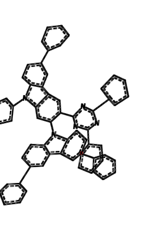 c1ccc(-c2ccc3c(c2)c2cc(-c4nc(-c5ccccc5)nc(-c5ccccc5)n4)c(-n4c5ccc(-c6ccccc6)cc5c5cc(-c6ccccc6)ccc54)cc2n3-c2ccccc2)cc1